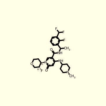 CC(NC(=O)c1cn([C@@H]2CCOC[C@H]2F)c(=O)cc1NC1CCN(C)CC1)c1cccc(C(F)F)c1F